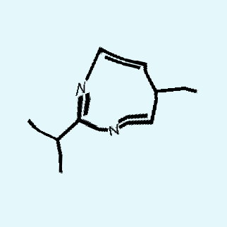 CC1C=CN=C(C(C)C)N=C1